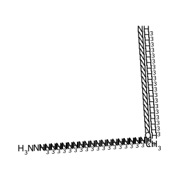 CO.N.N.N.N.N.N.N.N.N.N.N.N.N.N.N.N.N.N.N.N.N.N.N.N.N.N.N.N.N.N.N.N.N.N.N.N.N.N.N.N